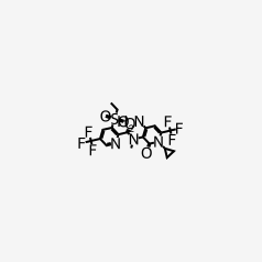 CCS(=O)(=O)c1cc(C(F)(F)F)cnc1C(=O)N(C)c1c(N)cc(C(F)(F)F)n(C2CC2)c1=O